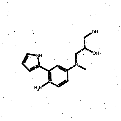 CN(CC(O)CO)c1ccc(N)c(-c2ccc[nH]2)c1